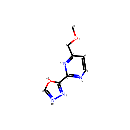 COCc1ccnc(-c2nnco2)n1